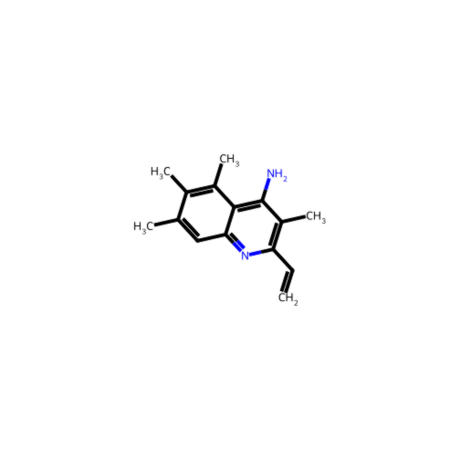 C=Cc1nc2cc(C)c(C)c(C)c2c(N)c1C